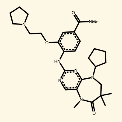 CNC(=O)c1ccc(Nc2ncc3c(n2)N(C2CCCC2)CC(C)(C)C(=O)N3C)c(OCCN2CCCC2)c1